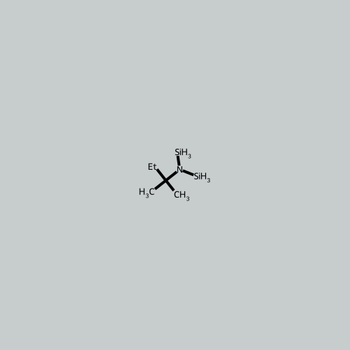 CCC(C)(C)N([SiH3])[SiH3]